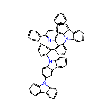 c1ccc(-c2cc(-c3ccccc3)nc(-c3c(-c4ccccc4-n4c5ccccc5c5cc(-n6c7ccccc7c7ccccc76)ccc54)cccc3-n3c4ccccc4c4ccccc43)c2)cc1